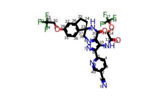 N#Cc1ccc(-c2nn3c(c2NC(=O)COC(F)(F)F)C(=O)N[C@]2(CCc4cc(OCC(F)(F)F)ccc42)C3)nc1